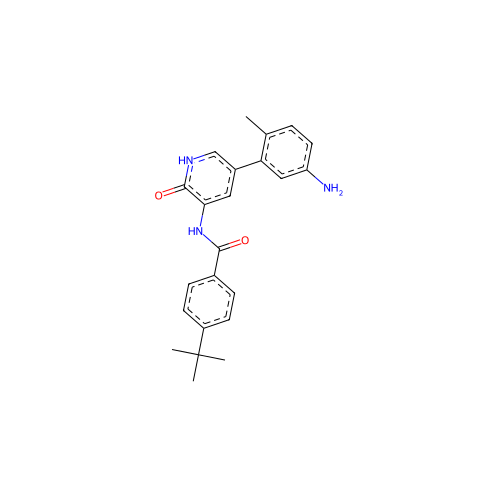 Cc1ccc(N)cc1-c1c[nH]c(=O)c(NC(=O)c2ccc(C(C)(C)C)cc2)c1